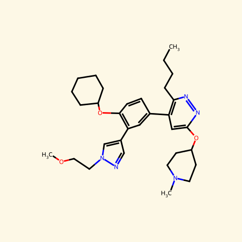 CCCCc1nnc(OC2CCN(C)CC2)cc1-c1ccc(OC2CCCCC2)c(-c2cnn(CCOC)c2)c1